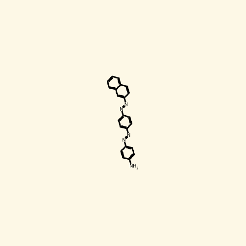 Nc1ccc(N=Nc2ccc(N=Nc3ccc4ccccc4c3)cc2)cc1